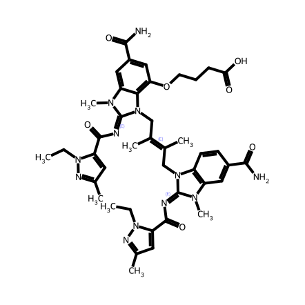 CCn1nc(C)cc1C(=O)/N=c1\n(C)c2cc(C(N)=O)ccc2n1C/C(C)=C(\C)Cn1/c(=N/C(=O)c2cc(C)nn2CC)n(C)c2cc(C(N)=O)cc(OCCCC(=O)O)c21